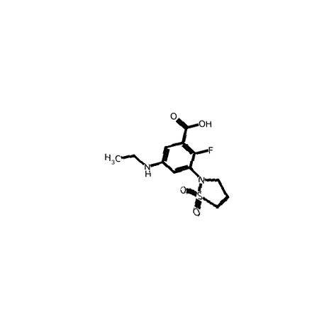 CCNc1cc(C(=O)O)c(F)c(N2CCCS2(=O)=O)c1